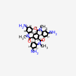 CN(C(=O)c1cc(C(=O)N(C)c2cccc(N)c2)cc(C(=O)N(C)c2cccc(N)c2)c1)c1cccc(N)c1